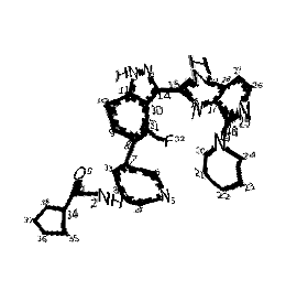 O=C(Nc1cncc(-c2ccc3[nH]nc(-c4nc5c(N6CCCCC6)nccc5[nH]4)c3c2F)c1)C1CCCC1